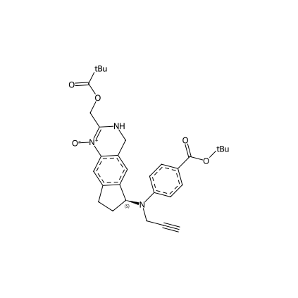 C#CCN(c1ccc(C(=O)OC(C)(C)C)cc1)[C@H]1CCc2cc3c(cc21)CNC(COC(=O)C(C)(C)C)=[N+]3[O-]